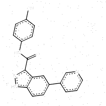 O=C(Nc1ccc(O)cc1)c1n[nH]c2ccc(-c3cccnc3)cc12